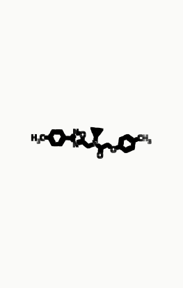 Cc1ccc(OCC(=O)N(Cc2nc(-c3ccc(C)cc3)no2)C2CC2)cc1